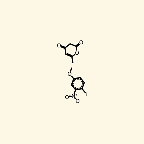 CC1=CC(=O)CC(=O)O1.COc1ccc(I)c([N+](=O)[O-])c1